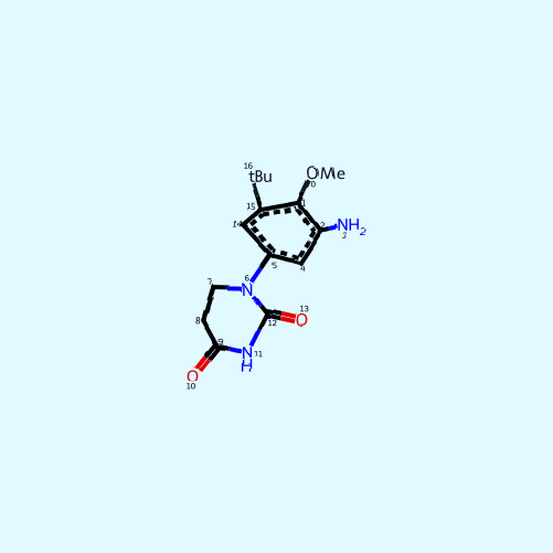 COc1c(N)cc(N2CCC(=O)NC2=O)cc1C(C)(C)C